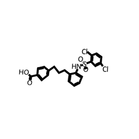 O=C(O)c1ccc(CCCc2ccccc2NS(=O)(=O)c2cc(Cl)ccc2Cl)cc1